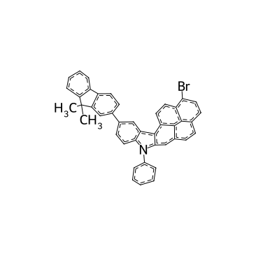 CC1(C)c2ccccc2-c2ccc(-c3ccc4c(c3)c3c5ccc6c(Br)ccc7ccc(cc3n4-c3ccccc3)c5c76)cc21